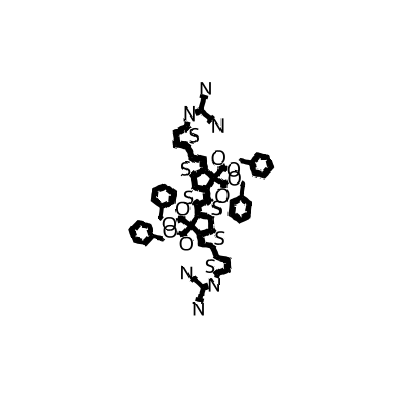 N#CC(C#N)=Nc1ccc(-c2cc3c(s2)-c2sc4c5c(sc4c2C3(C(=O)OCc2ccccc2)C(=O)OCc2ccccc2)-c2sc(-c3ccc(N=C(C#N)C#N)s3)cc2C5(C(=O)OCc2ccccc2)C(=O)OCc2ccccc2)s1